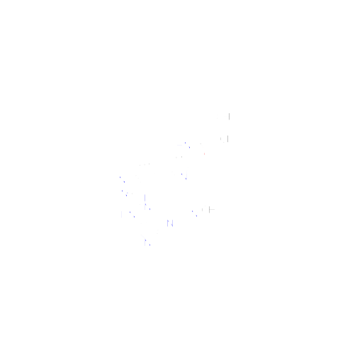 CC(C)CC(=O)Nc1cncc(-c2ccc3[nH]nc(C4Nc5cncc(N6CCN(C)CC6)c5N4)c3c2)c1